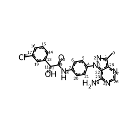 Cc1nn(-c2ccc(NC(=O)[C@H](O)c3cccc(Cl)c3)cc2)c2c(N)ncnc12